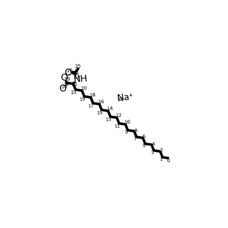 CCCCCCCCCCCCCCCCCCCCCCC(NC(C)=O)C(=O)[O-].[Na+]